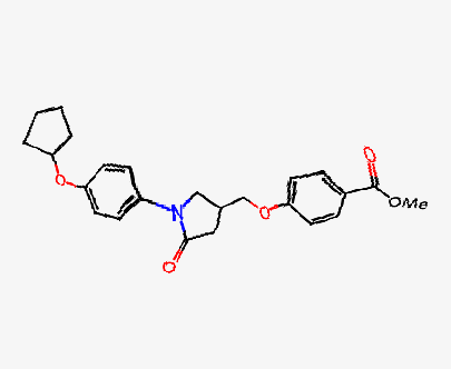 COC(=O)c1ccc(OCC2CC(=O)N(c3ccc(OC4CCCC4)cc3)C2)cc1